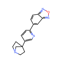 c1cc2nonc2cc1-c1ccc(C23CCN(CC2)C3)cn1